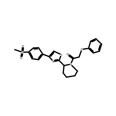 CS(=O)(=O)c1ccc(-c2csc(C3CCCCN3C(=O)COc3ccccc3)n2)cc1